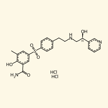 Cc1cc(S(=O)(=O)c2ccc(CCNC[C@@H](O)c3cccnc3)cc2)cc(C(N)=O)c1O.Cl.Cl